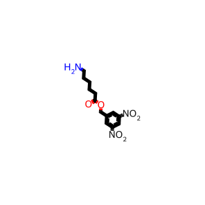 NCCCCCC(=O)OCc1cc([N+](=O)[O-])cc([N+](=O)[O-])c1